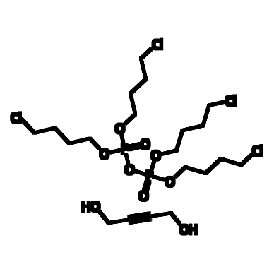 O=P(OCCCCCl)(OCCCCCl)OP(=O)(OCCCCCl)OCCCCCl.OCC#CCO